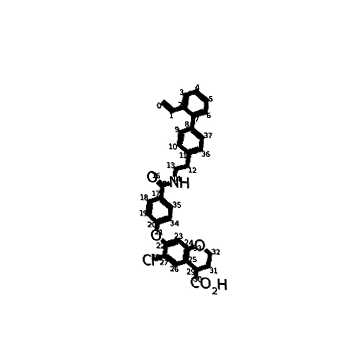 C=Cc1ccccc1-c1ccc(CCNC(=O)c2ccc(Oc3cc4c(cc3Cl)C(C(=O)O)CCO4)cc2)cc1